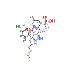 COCCCCC1(c2ccccc2C)NNN=C1C(=O)N(CC(C)C)[C@@H]1CNC[C@H](C(=O)O)C1.Cl